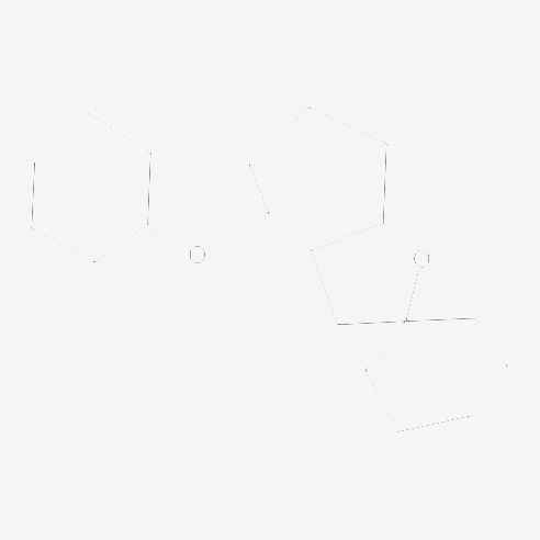 C1CCC(OC2CCCC3OC4(CCCCC4)CC23)CC1